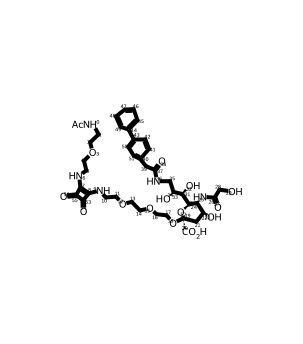 CC(=O)NCCOCCNc1c(NCCOCCOCCO[C@]2(C(=O)O)C[C@H](O)[C@@H](NC(=O)CO)[C@H]([C@H](O)[C@H](O)CNC(=O)Cc3ccc(-c4ccccc4)cc3)O2)c(=O)c1=O